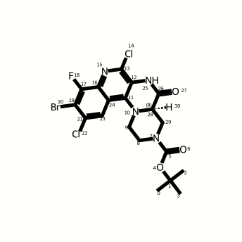 CC(C)(C)OC(=O)N1CCN2c3c(c(Cl)nc4c(F)c(Br)c(Cl)cc34)NC(=O)[C@H]2C1